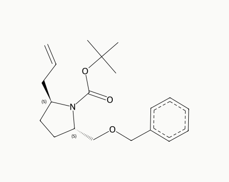 C=CC[C@@H]1CC[C@@H](COCc2ccccc2)N1C(=O)OC(C)(C)C